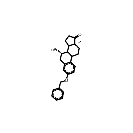 CCC[C@@H]1Cc2cc(OCc3ccccc3)ccc2C2CC[C@]3(C)C(=O)CCC3C21